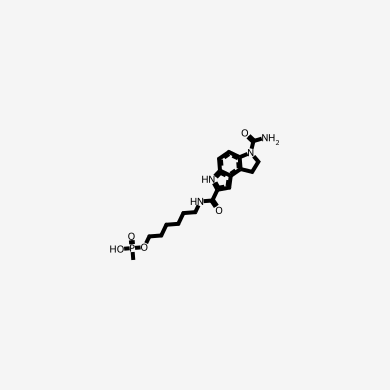 CP(=O)(O)OCCCCCCNC(=O)c1cc2c3c(ccc2[nH]1)N(C(N)=O)CC3